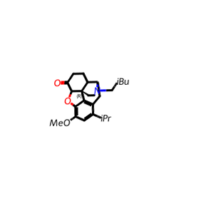 CCC(C)CN1CC[C@@]23c4c5c(C(C)C)cc(OC)c4OC2C(=O)CCC3C1C5